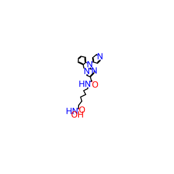 Cc1ccccc1N(c1ccncc1)c1ncc(C(=O)NCCCCCCC(=O)NO)cn1